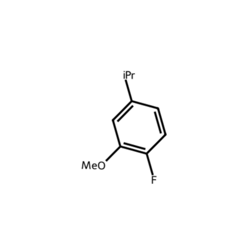 COc1cc(C(C)C)ccc1F